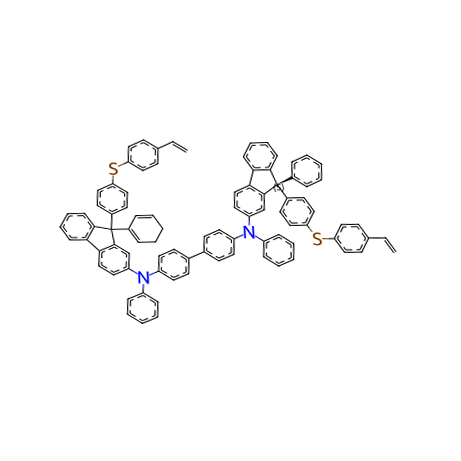 C=Cc1ccc(Sc2ccc(C3(C4=CCCC=C4)c4ccccc4-c4ccc(N(c5ccccc5)c5ccc(-c6ccc(N(c7ccccc7)c7ccc8c(c7)[C@@](c7ccccc7)(c7ccc(Sc9ccc(C=C)cc9)cc7)c7ccccc7-8)cc6)cc5)cc43)cc2)cc1